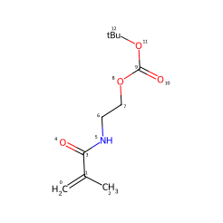 C=C(C)C(=O)NCCOC(=O)OC(C)(C)C